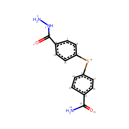 NNC(=O)c1ccc(Sc2ccc(C(N)=O)cc2)cc1